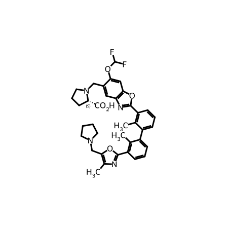 Cc1nc(-c2cccc(-c3cccc(-c4nc5cc(CN6CCC[C@H]6C(=O)O)c(OC(F)F)cc5o4)c3C)c2C)oc1CN1CCCC1